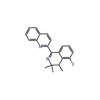 CC1c2c(F)cccc2C(c2ccc3ccccc3n2)=NC1(C)C